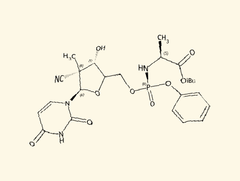 CC(C)COC(=O)[C@H](C)N[P@@](=O)(OCC1O[C@@H](n2ccc(=O)[nH]c2=O)[C@](C)(C#N)[C@@H]1O)Oc1ccccc1